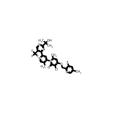 Cc1cnc(COc2cc(C)n(-c3cc(-c4nc(C(C)(C)O)ncc4C(F)(F)F)ncc3C)c(=O)c2Cl)c(F)c1